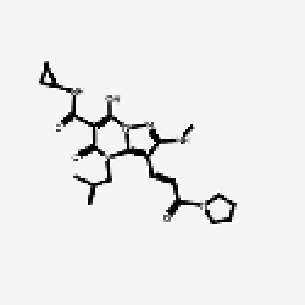 CNc1nn2c(O)c(C(=O)NC3CC3)c(=O)n(CC(C)C)c2c1C=CC(=O)N1CCCC1